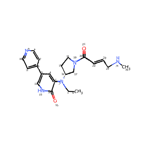 CCN(c1cc(-c2ccncc2)c[nH]c1=O)[C@@H]1CCN(C(=O)C=CCNC)C1